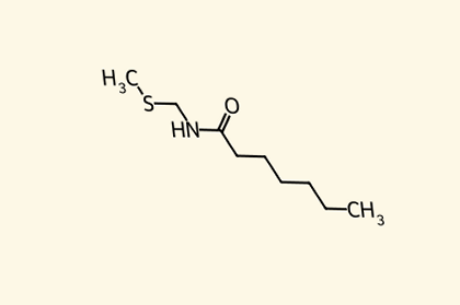 CCCCCCC(=O)NCSC